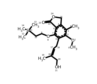 COc1c(C)c2c(c(OCC[Si](C)(C)C)c1CC=C(C)CO)C(=O)OC2